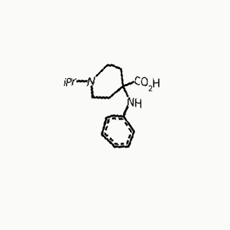 CC(C)N1CCC(Nc2ccccc2)(C(=O)O)CC1